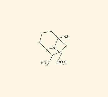 CCOC(=O)CN1C2CCCC1(CC)CCC2C(=O)O